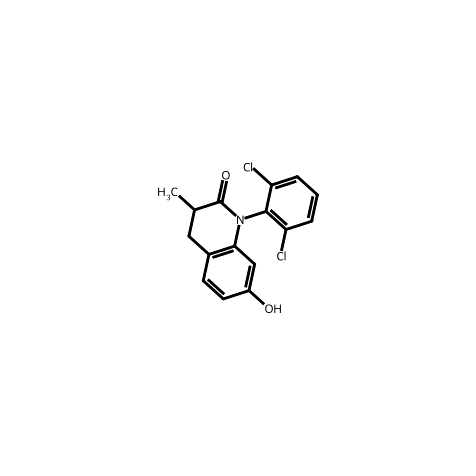 CC1Cc2ccc(O)cc2N(c2c(Cl)cccc2Cl)C1=O